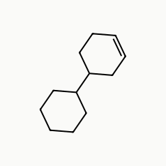 C1=CCC(C2CCCCC2)CC1